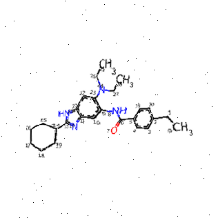 CCc1ccc(C(=O)Nc2cc3nc(C4CCCCC4)[nH]c3cc2N(CC)CC)cc1